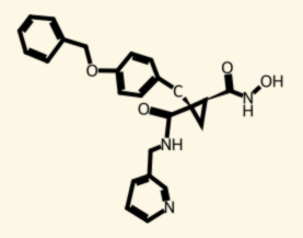 O=C(NO)[C@H]1C[C@]1(Cc1ccc(OCc2ccccc2)cc1)C(=O)NCc1cccnc1